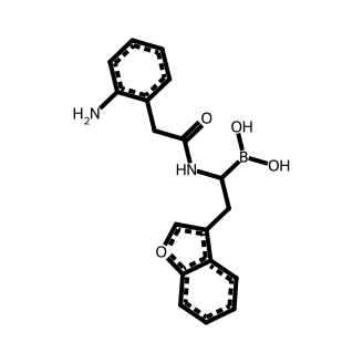 Nc1ccccc1CC(=O)NC(Cc1coc2ccccc12)B(O)O